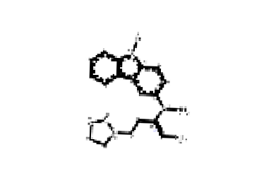 CCn1c2ccccc2c2cc(N(N)/C(=C\N)CCN3CCOS3)ccc21